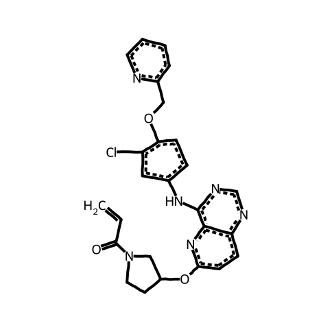 C=CC(=O)N1CCC(Oc2ccc3ncnc(Nc4ccc(OCc5ccccn5)c(Cl)c4)c3n2)C1